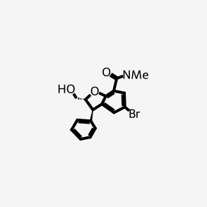 CNC(=O)c1cc(Br)cc2c1O[C@@H](CO)[C@@H]2c1ccccc1